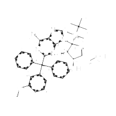 COc1cccc(C(c2ccccc2)(c2ccccc2)c2nc(N)c3ncn([C@]4([Si](C)(C)C(C)(C)C)O[C@H](CO)[C@@H](O)[C@H]4O)c3n2)c1